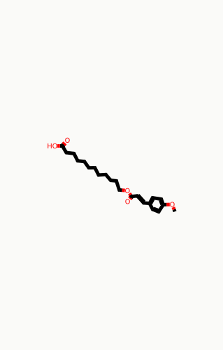 COc1ccc(C=CC(=O)OCCCCCCCCCCCC(=O)O)cc1